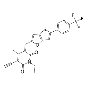 CCN1C(=O)C(C#N)=C(C)/C(=C/c2cc3sc(-c4ccc(C(F)(F)F)cc4)cc3o2)C1=O